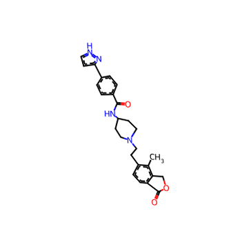 Cc1c(CCN2CCC(NC(=O)c3ccc(-c4cc[nH]n4)cc3)CC2)ccc2c1COC2=O